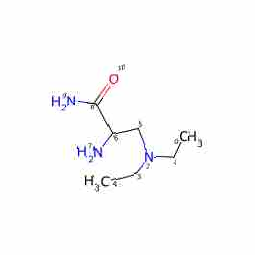 CCN(CC)CC(N)C(N)=O